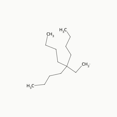 [CH2]CC(CCCC)(CCCC)CCCC